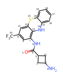 NC1CC(C(=O)Nc2cc(C(F)(F)F)cc3c2Nc2ccccc2S3)C1